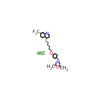 C[C@@H]1CN(Cc2ccc(OCCCCCSc3ccnc4cc(C(F)(F)F)ccc34)cc2)C[C@H](C)O1.Cl.Cl